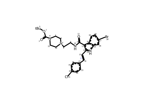 CC(C)(C)OC(=O)N1CCN(CCNC(=O)c2c(/C=C/c3ccc(Cl)cc3)[nH]c3cc(Br)ccc23)CC1